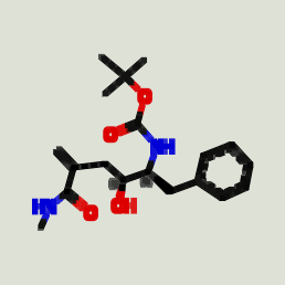 C=C(C[C@H](O)[C@H](Cc1ccccc1)NC(=O)OC(C)(C)C)C(=O)NC